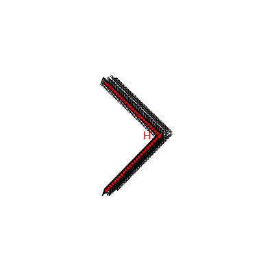 O.[Al+3].[Al+3].[Al+3].[Al+3].[Al+3].[Al+3].[Al+3].[Al+3].[Al+3].[Al+3].[Al+3].[Al+3].[Al+3].[Al+3].[Al+3].[Al+3].[Al+3].[Al+3].[Al+3].[Al+3].[Al+3].[Al+3].[Al+3].[Al+3].[Al+3].[Al+3].[Al+3].[Al+3].[Al+3].[Al+3].[Al+3].[Al+3].[Al+3].[Al+3].[Al+3].[Al+3].[Al+3].[Al+3].[Al+3].[Al+3].[Al+3].[Al+3].[Al+3].[Al+3].[Al+3].[Al+3].[Al+3].[Al+3].[Al+3].[Al+3].[Al+3].[Al+3].[Al+3].[Al+3].[Al+3].[Al+3].[Al+3].[Al+3].[Al+3].[Al+3].[Al+3].[Al+3].[Al+3].[Al+3].[Al+3].[Al+3].[Al+3].[Al+3].[Al+3].[Al+3].[Al+3].[Al+3].[Al+3].[Al+3].[Al+3].[Al+3].[Al+3].[Al+3].[Al+3].[Al+3].[Al+3].[Al+3].[Al+3].[Al+3].[Al+3].[Al+3].[Al+3].[Al+3].[Al+3].[Al+3].[Al+3].[Al+3].[Al+3].[Al+3].[Al+3].[Al+3].[Al+3].[Al+3].[Al+3].[Al+3]